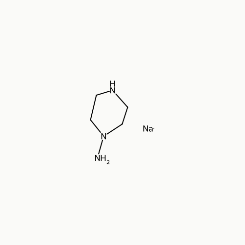 NN1CCNCC1.[Na]